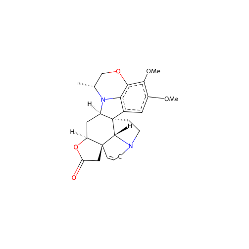 COc1cc2c3c(c1OC)OC[C@@H](C)N3[C@@H]1C[C@@H]3OC(=O)C[C@@]34C=CCN3CC[C@@]21[C@H]34